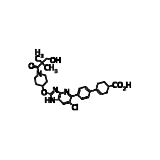 CC(C)(CO)C(=O)N1CCC(Oc2nc3nc(-c4ccc(C5=CCC(C(=O)O)CC5)cc4)c(Cl)cc3[nH]2)CC1